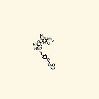 N=C(NCCCCc1ccc(OCCOC2CCCCO2)cc1)NC(=O)c1nc(Cl)c(N)nc1N